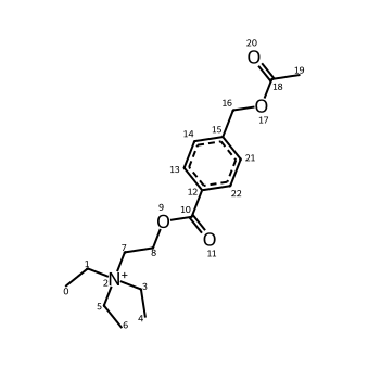 CC[N+](CC)(CC)CCOC(=O)c1ccc(COC(C)=O)cc1